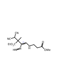 CCOC(=O)C(C)(/C(=C/NCCC(=O)OC)N=N)C(C#N)C#N